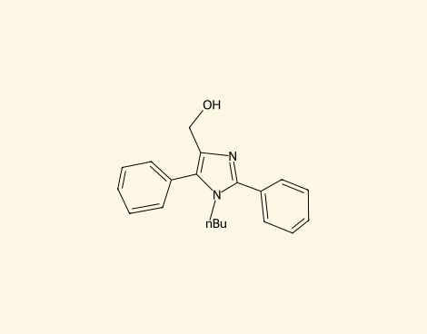 CCCCn1c(-c2ccccc2)nc(CO)c1-c1ccccc1